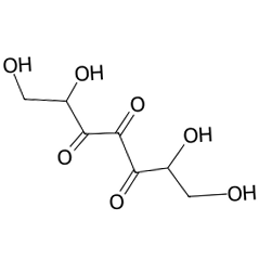 O=C(C(=O)C(O)CO)C(=O)C(O)CO